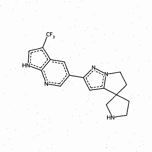 FC(F)(F)c1c[nH]c2ncc(-c3cc4n(n3)CCC43CCNC3)cc12